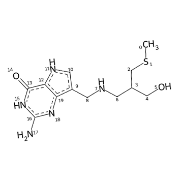 CSCC(CO)CNCc1c[nH]c2c(=O)[nH]c(N)nc12